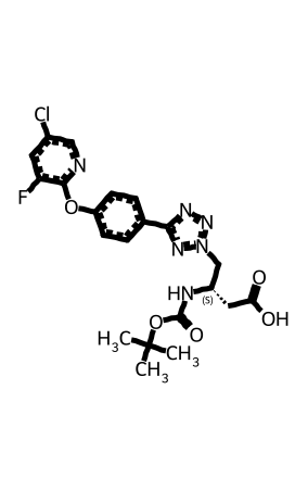 CC(C)(C)OC(=O)N[C@@H](CC(=O)O)Cn1nnc(-c2ccc(Oc3ncc(Cl)cc3F)cc2)n1